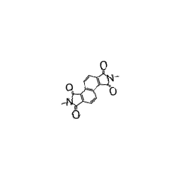 Cn1c(=O)c2ccc3c(ccc4c(=O)n(C)c(=O)c43)c2c1=O